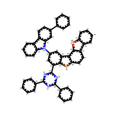 c1ccc(-c2ccc3c4ccccc4n(-c4cc(-c5nc(-c6ccccc6)nc(-c6ccccc6)n5)c5sc6ccc7c8ccccc8oc7c6c5c4)c3c2)cc1